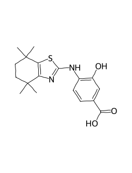 CC1(C)CCC(C)(C)c2sc(Nc3ccc(C(=O)O)cc3O)nc21